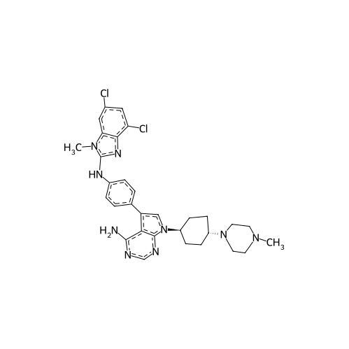 CN1CCN([C@H]2CC[C@H](n3cc(-c4ccc(Nc5nc6c(Cl)cc(Cl)cc6n5C)cc4)c4c(N)ncnc43)CC2)CC1